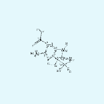 C=C(CC)c1cc2c(cc1N)C(CC)(C(F)(F)F)C(=C)N2C